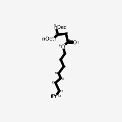 CCCCCCCCCCC(CCCCCCCC)CC(=O)OCCCCCCCC(C)C